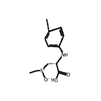 Cc1ccc(N[C@@H](C[S+](C)[O-])C(=O)O)cc1